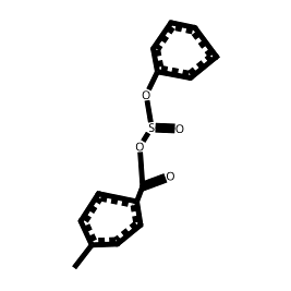 Cc1ccc(C(=O)OS(=O)Oc2ccccc2)cc1